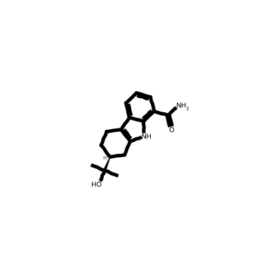 CC(C)(O)[C@H]1CCc2c([nH]c3c(C(N)=O)cccc23)C1